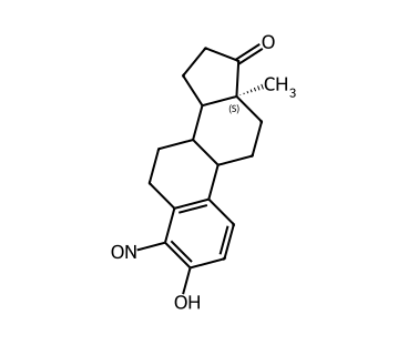 C[C@]12CCC3c4ccc(O)c(N=O)c4CCC3C1CCC2=O